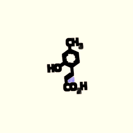 Cc1ccc(/C=C/C(=O)O)c(O)c1